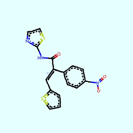 O=C(Nc1nccs1)/C(=C/c1cccs1)c1ccc([N+](=O)[O-])cc1